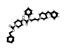 O=C(OCc1ccccc1)N1CCC(NC(=O)N(CCCN2CCC(Cc3ccccc3)CC2)c2ccccc2)CC1